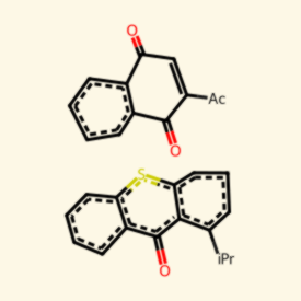 CC(=O)C1=CC(=O)c2ccccc2C1=O.CC(C)c1cccc2sc3ccccc3c(=O)c12